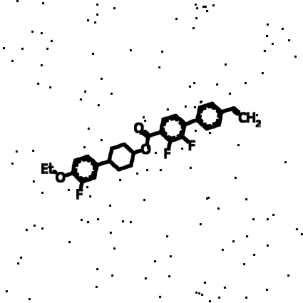 C=Cc1ccc(-c2ccc(C(=O)OC3CCC(c4ccc(OCC)c(F)c4)CC3)c(F)c2F)cc1